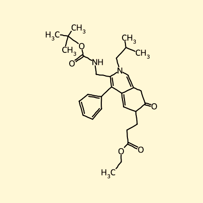 CCOC(=O)CCC1C=C2C(=CN(CC(C)C)C(CNC(=O)OC(C)(C)C)=C2c2ccccc2)CC1=O